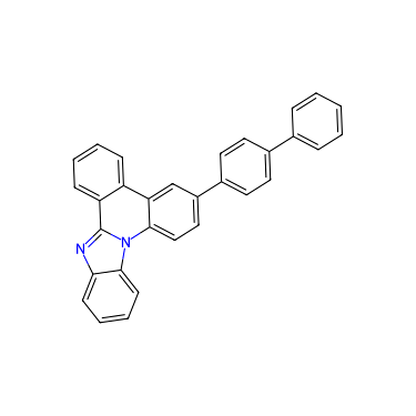 c1ccc(-c2ccc(-c3ccc4c(c3)c3ccccc3c3nc5ccccc5n43)cc2)cc1